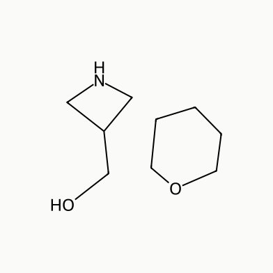 C1CCOCC1.OCC1CNC1